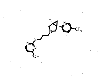 Oc1ccnc(SCCCN2C[C@H]3C[C@@]3(c3ccc(C(F)(F)F)cn3)C2)n1